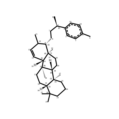 Cc1ccc([C@H](C)CC[C@H]2C(C)C=C[C@H]3[C@]4(C)CC[C@H]5C(C)(C)CCC[C@]5(C)[C@H]4CC[C@@]32C)cc1